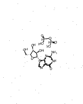 Nc1nc2c(ncn2[C@@H]2O[C@H](CO)[C@@H](O)[C@H]2O)c(=O)[nH]1.O=[PH](O)O[PH](=O)O